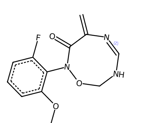 C=C1/N=C\NCON(c2c(F)cccc2OC)C1=O